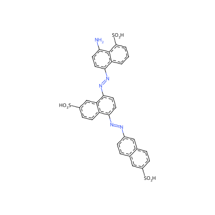 Nc1ccc(N=Nc2ccc(N=Nc3ccc4cc(S(=O)(=O)O)ccc4c3)c3ccc(S(=O)(=O)O)cc23)c2cccc(S(=O)(=O)O)c12